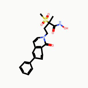 CC(CCn1ccc2cc(-c3ccccc3)ccc2c1=O)(C(=O)NO)S(C)(=O)=O